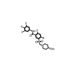 O=C(Nc1cc(F)c(F)c(F)c1)c1cc(S(=O)(=O)CN2CCC(O)CC2)c(F)cc1F